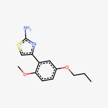 CCCOc1ccc(OC)c(-c2csc(N)n2)c1